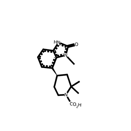 Cn1c(=O)[nH]c2cccc([C@@H]3CCN(C(=O)O)C(C)(C)C3)c21